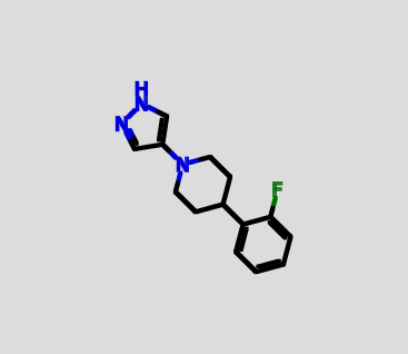 Fc1ccccc1C1CCN(c2cn[nH]c2)CC1